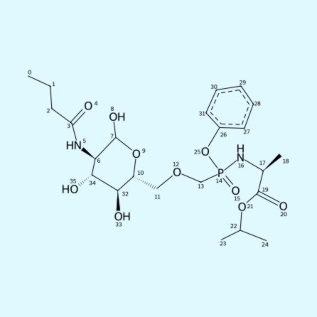 CCCC(=O)N[C@H]1C(O)O[C@H](COCP(=O)(N[C@@H](C)C(=O)OC(C)C)Oc2ccccc2)[C@@H](O)[C@@H]1O